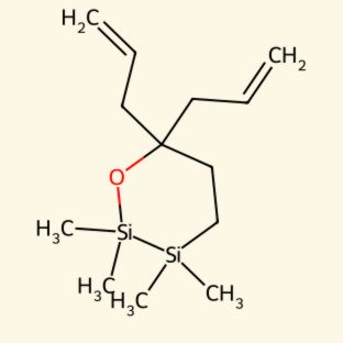 C=CCC1(CC=C)CC[Si](C)(C)[Si](C)(C)O1